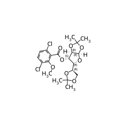 COc1c(Cl)ccc(Cl)c1C(=O)O[C@@H]1[C@H]2OC(C)(C)O[C@H]2O[C@@H]1[C@H]1COC(C)(C)O1